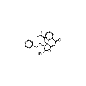 CC(C)=CCC12C(=CC(=O)c3ccccc31)OC(C(C)C)N2OCc1ccccc1